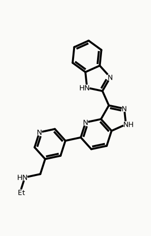 CCNCc1cncc(-c2ccc3[nH]nc(-c4nc5ccccc5[nH]4)c3n2)c1